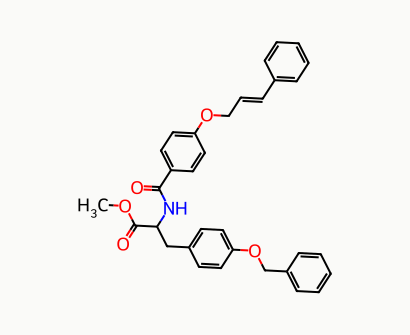 COC(=O)C(Cc1ccc(OCc2ccccc2)cc1)NC(=O)c1ccc(OCC=Cc2ccccc2)cc1